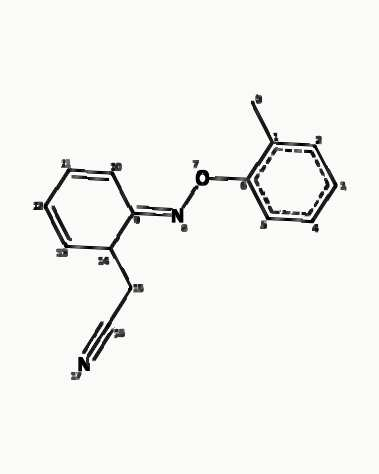 Cc1ccccc1ON=C1C=CC=CC1CC#N